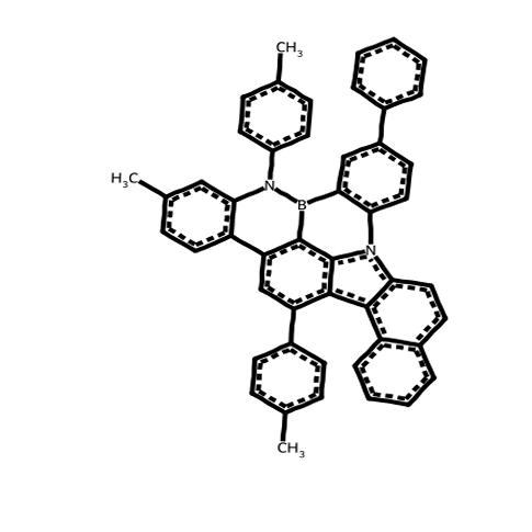 Cc1ccc(-c2cc3c4c5c2c2c6ccccc6ccc2n5-c2ccc(-c5ccccc5)cc2B4N(c2ccc(C)cc2)c2cc(C)ccc2-3)cc1